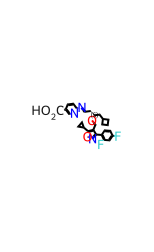 O=C(O)c1ccc(N=CC[C@H](CC2CCC2)OCc2c(-c3ccc(F)cc3F)noc2C2CC2)nc1